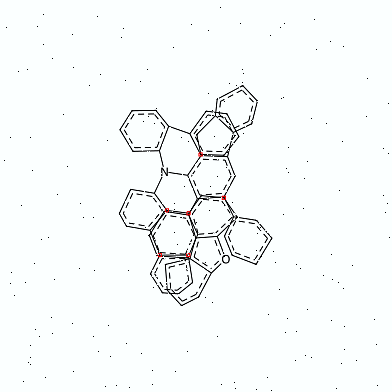 c1ccc(-c2ccccc2N(c2cccc(-c3ccccc3)c2-c2cccc3oc4ccccc4c23)c2c3c(cc(-c4ccccc4)c2-c2ccccc2)-c2ccccc2C3)cc1